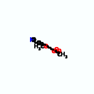 CC(=O)CC(=O)OCCCCCOC/C(C)=C/c1ccc(Cc2cccnc2)cc1